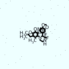 COc1c(C)c(N2CCNC(F)(F)C2c2ccc3c(c2)OCO3)c(C)c2c1OC(C)(C)C2